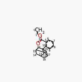 C=COC(=O)c1ccccc1C12CC3CC(CC(C3)C1)C2